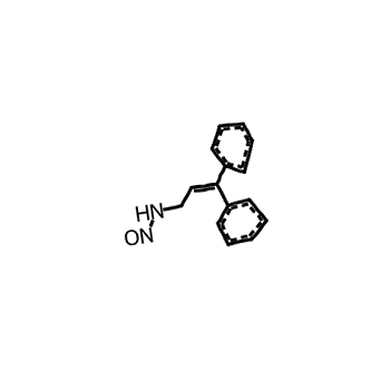 O=NNCC=C(c1ccccc1)c1ccccc1